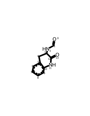 O=CNC1Cc2ccccc2NC1=O